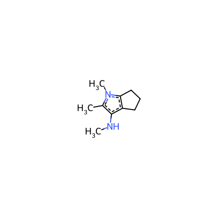 CNc1c2c(n(C)c1C)CCC2